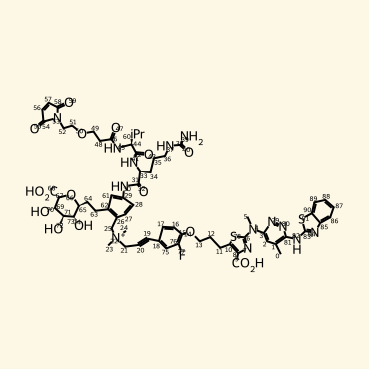 Cc1cc(N(C)c2nc(C(=O)O)c(CCCOc3ccc(C#CC[N+](C)(C)Cc4ccc(NC(=O)[C@H](CCCNC(N)=O)NC(=O)[C@@H](NC(=O)CCOCCN5C(=O)C=CC5=O)C(C)C)cc4CC[C@@H]4O[C@H](C(=O)O)[C@@H](O)[C@H](O)[C@H]4O)cc3F)s2)nnc1Nc1nc2ccccc2s1